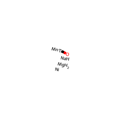 [MgH2].[Mn].[NaH].[Ni].[O]=[Ti]